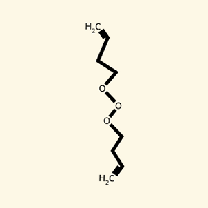 C=CCCOOOCCC=C